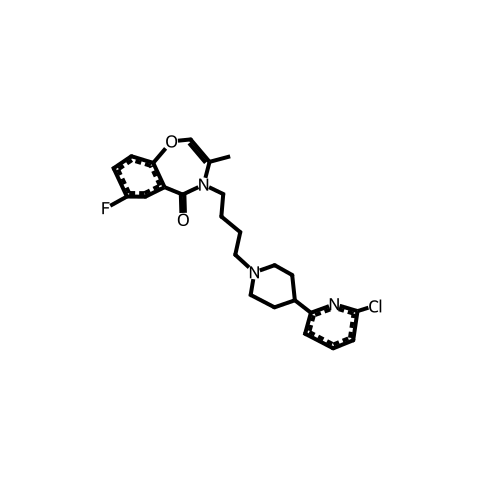 CC1=COc2ccc(F)cc2C(=O)N1CCCCN1CCC(c2cccc(Cl)n2)CC1